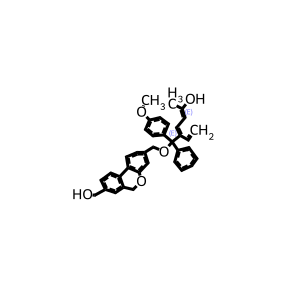 C=C/C(=C\C=C(/C)O)C(OCc1ccc2c(c1)OCc1cc(CO)ccc1-2)(c1ccccc1)c1ccc(OC)cc1